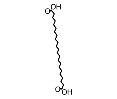 O=C(O)CCCCCCCCCCCCCCCCCCCCCC(=O)O